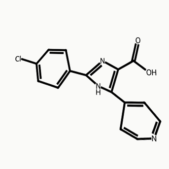 O=C(O)c1nc(-c2ccc(Cl)cc2)[nH]c1-c1ccncc1